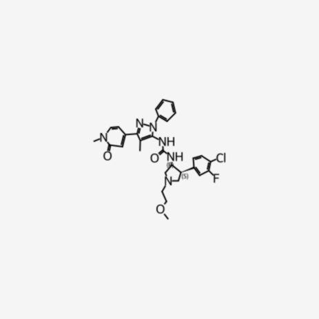 COCCN1C[C@H](NC(=O)Nc2c(C)c(-c3ccn(C)c(=O)c3)nn2-c2ccccc2)[C@@H](c2ccc(Cl)c(F)c2)C1